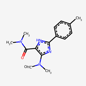 Cc1ccc(-c2nc(N(C)C=O)c(C(=O)N(C)C)[nH]2)cc1